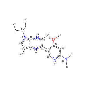 CCC(CC)n1cc(C)c2nc(-c3cnc(N(C)C)cc3OC)c(C)nc21